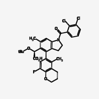 Cc1cc2c(c(-c3cc(F)c4c(c3C)CCCO4)c1[C@H](OC(C)(C)C)C(=O)O)CCN2C(=O)c1cccc(Cl)c1Cl